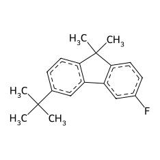 CC(C)(C)c1ccc2c(c1)-c1cc(F)ccc1C2(C)C